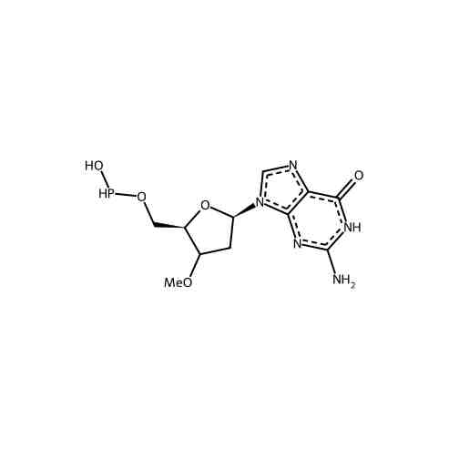 COC1C[C@H](n2cnc3c(=O)[nH]c(N)nc32)O[C@@H]1COPO